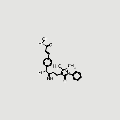 CC[C@H](C(=N)CCc1c(C)n(C)n(-c2ccccc2)c1=O)c1ccc(/C=C/C(=O)NO)cc1